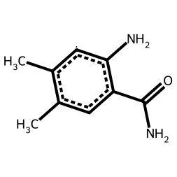 Cc1[c]c(N)c(C(N)=O)cc1C